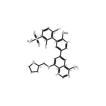 COc1ncc(-c2cc(OCC3CCCO3)c3ncnc(C)c3c2)cc1-c1c(F)ccc(S(N)(=O)=O)c1F